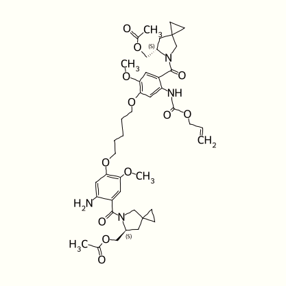 C=CCOC(=O)Nc1cc(OCCCCCOc2cc(N)c(C(=O)N3CC4(CC4)C[C@H]3COC(C)=O)cc2OC)c(OC)cc1C(=O)N1CC2(CC2)C[C@H]1COC(C)=O